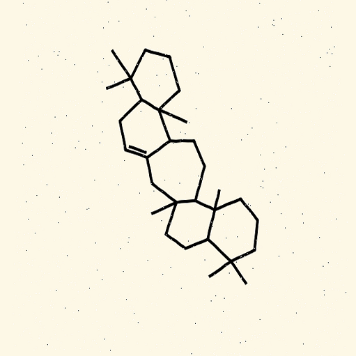 CC1(C)CCCC2(C)C3CCC4C(C)(CCC5C(C)(C)CCCC54C)CC3=CCC12